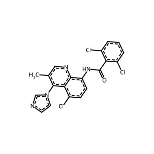 Cc1cnc2c(NC(=O)c3c(Cl)cccc3Cl)ccc(Cl)c2c1-n1ccnc1